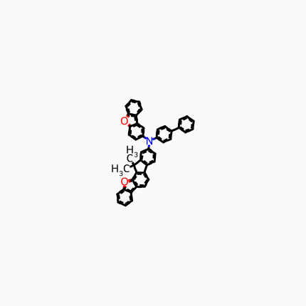 CC1(C)c2cc(N(c3ccc(-c4ccccc4)cc3)c3ccc4oc5ccccc5c4c3)ccc2-c2ccc3c(oc4ccccc43)c21